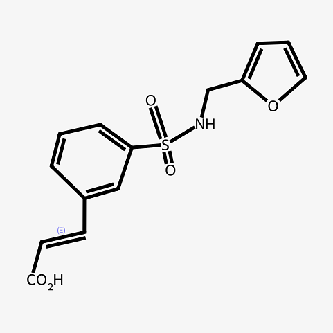 O=C(O)/C=C/c1cccc(S(=O)(=O)NCc2ccco2)c1